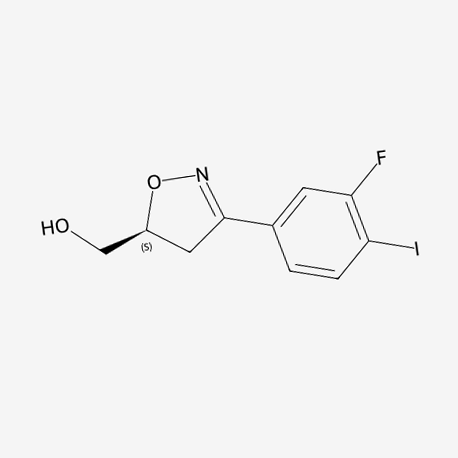 OC[C@@H]1CC(c2ccc(I)c(F)c2)=NO1